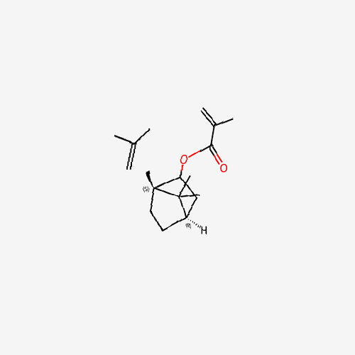 C=C(C)C.C=C(C)C(=O)OC1C[C@H]2CC[C@@]1(C)C2(C)C